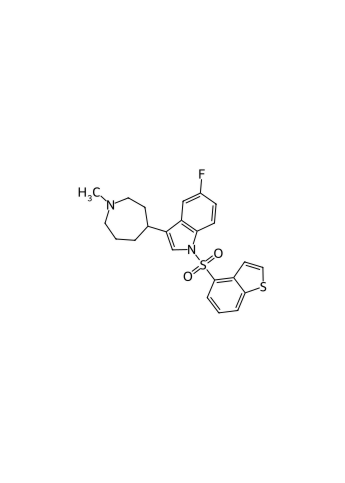 CN1CCCC(c2cn(S(=O)(=O)c3cccc4sccc34)c3ccc(F)cc23)CC1